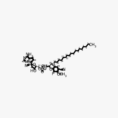 CCCCCCCCCCCCCCCCCCOC[C@H](COP(=O)(O)OC[C@H]1O[C@@](C#N)(c2ccc3c(N)ncnn23)C[C@@H]1O)Oc1ccc(C#N)c(OC)c1F